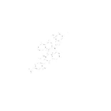 COc1cc(F)c(-c2cc3ccccc3c(-c3c(O)c(-c4c(F)cc(OC)cc4F)cc4ccccc34)c2O)c(F)c1